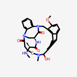 CN[C@@H](C)C(=O)N[C@H]1CN2C(=O)CCCN(C)C(O)c3ccc4c(c(OC)ccc4c3)CN(C1=O)c1ccccc12